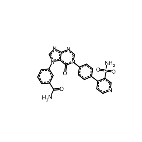 NC(=O)c1cccc(-n2cnc3ncn(-c4ccc(-c5ccncc5S(N)(=O)=O)cc4)c(=O)c32)c1